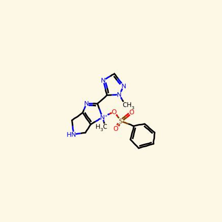 Cn1ncnc1C1=NC2=C(CNC2)[N+]1(C)OS(=O)(=O)c1ccccc1